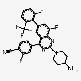 N#Cc1ccc(-c2nc(N3CCC(N)CC3)nc3c(F)cc(-c4c(F)cccc4C(F)(F)F)cc23)cc1F